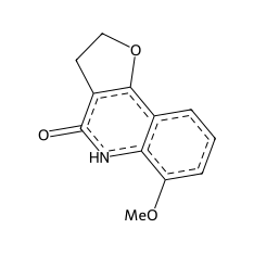 COc1cccc2c3c(c(=O)[nH]c12)CCO3